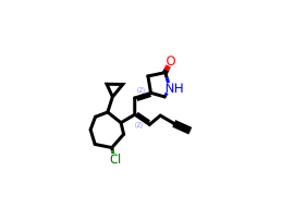 C#CC/C=C(\C=C1/CNC(=O)C1)C1CC(Cl)CCCC1C1CC1